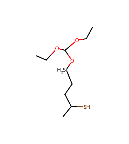 CCOC(OCC)O[SiH2]CCC(C)S